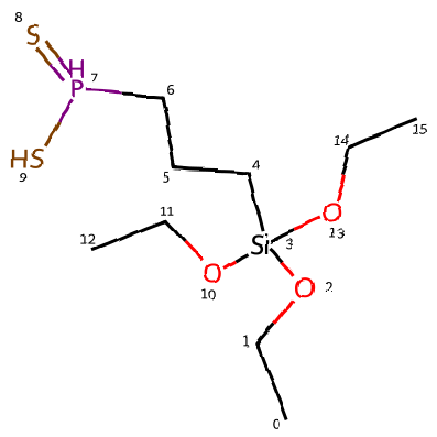 CCO[Si](CCC[PH](=S)S)(OCC)OCC